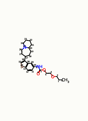 CCCOCCOC(=O)Nc1ccc2scc(C3CCC4CCCCN4CC3)c2c1